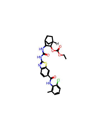 CCOC(=O)OC1C(NC(=O)Nc2nc3ccc(C(=O)Nc4c(C)cccc4Cl)cc3s2)C2CC[C@H]1C2